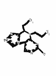 FC(F)(F)CCN1c2nc(Cl)ncc2-n2cnnc2C1CC(F)(F)F